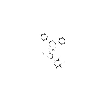 CC[C@H]1O[C@@H](n2cc(C)c(=O)[nH]c2=O)C[C@@H]1O[P@]1(=O)O[C@H](c2ccccc2)C[C@H](c2ccccc2)S1